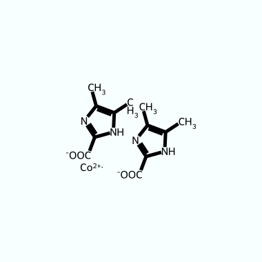 Cc1nc(C(=O)[O-])[nH]c1C.Cc1nc(C(=O)[O-])[nH]c1C.[Co+2]